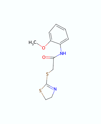 COc1ccccc1NC(=O)CSC1=NCCS1